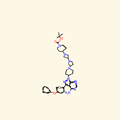 CC(C)(C)OC(=O)N1CCC(N2CC(N3CCC(N4CCC(n5nc(-c6ccc(Oc7ccccc7)cc6)c6c(N)ncnc65)CC4)C3)C2)CC1